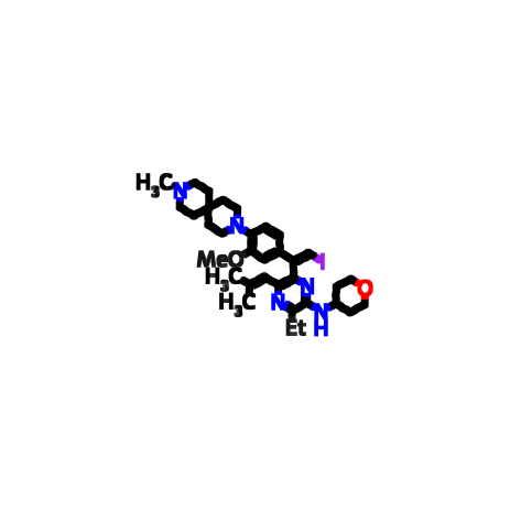 CCc1nc(C=C(C)C)c(/C(=C\I)c2ccc(N3CCC4(CCN(C)CC4)CC3)c(OC)c2)nc1NC1CCOCC1